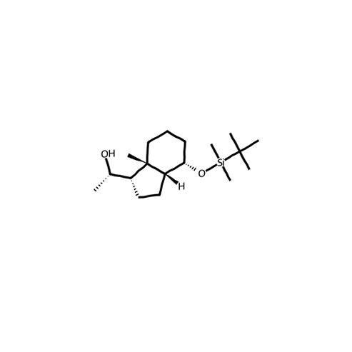 C[C@H](O)[C@H]1CC[C@H]2[C@@H](O[Si](C)(C)C(C)(C)C)CCC[C@@]12C